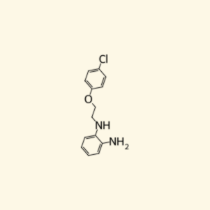 Nc1ccccc1NCCOc1ccc(Cl)cc1